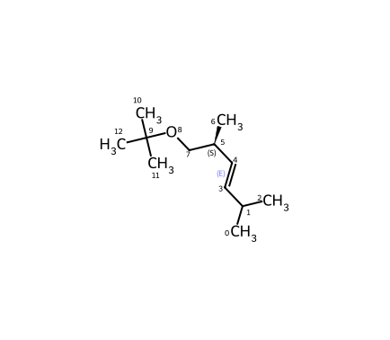 CC(C)/C=C/[C@H](C)COC(C)(C)C